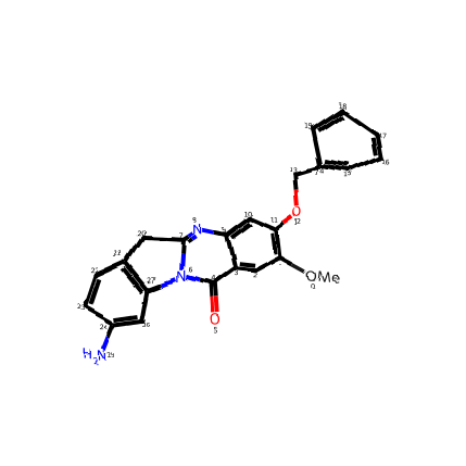 COc1cc2c(=O)n3c(nc2cc1OCc1ccccc1)Cc1ccc(N)cc1-3